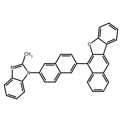 Cc1nc2ccccc2n1-c1ccc2cc(-c3c4ccccc4cc4c3oc3ccccc34)ccc2c1